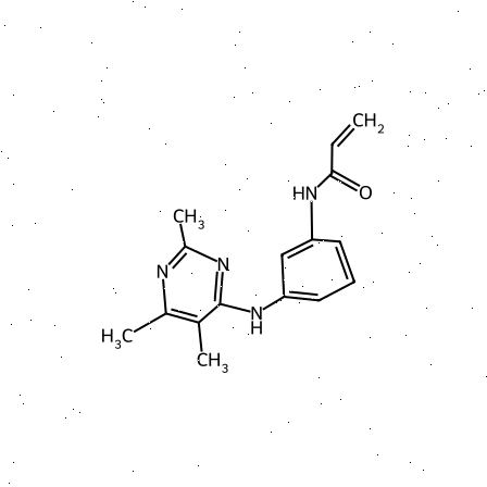 C=CC(=O)Nc1cccc(Nc2nc(C)nc(C)c2C)c1